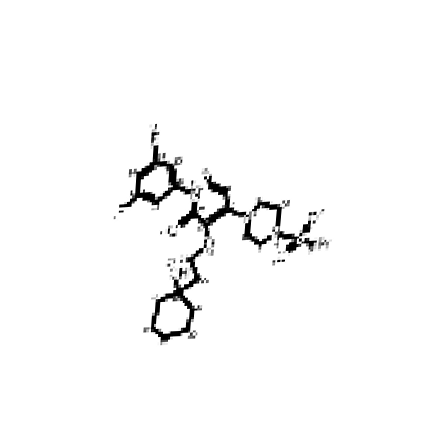 CC(C)S(=O)(=O)N1CCN(c2cnn(-c3cc(F)cc(F)c3)c(=O)c2OCCC2(O)CCCCC2)CC1